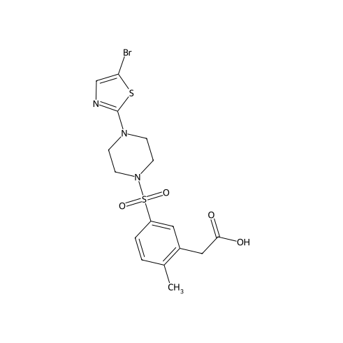 Cc1ccc(S(=O)(=O)N2CCN(c3ncc(Br)s3)CC2)cc1CC(=O)O